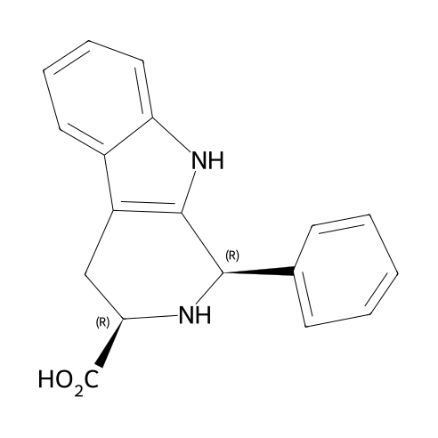 O=C(O)[C@H]1Cc2c([nH]c3ccccc23)[C@@H](c2ccccc2)N1